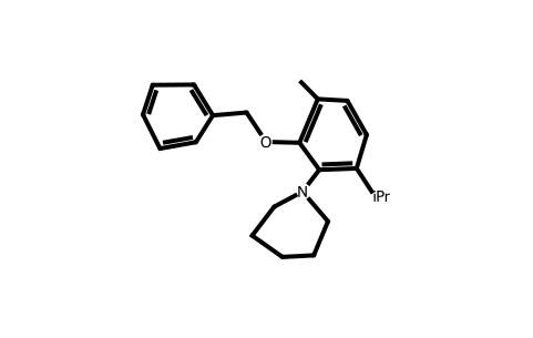 Cc1ccc(C(C)C)c(N2CCCCC2)c1OCc1ccccc1